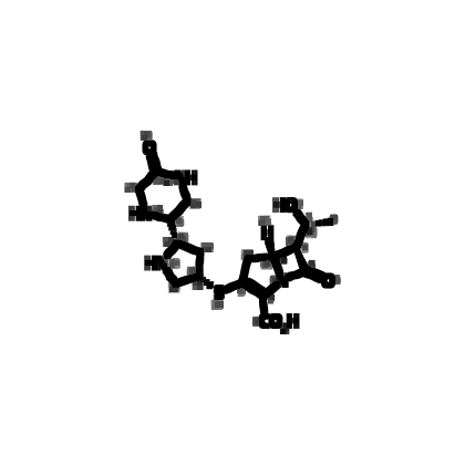 C[C@@H](O)[C@H]1C(=O)N2C(C(=O)O)=C(S[C@@H]3CN[C@H](C4CNC(=O)CN4)C3)C[C@H]12